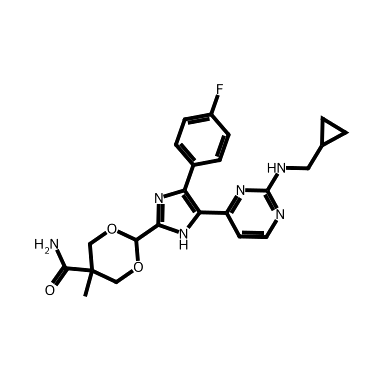 CC1(C(N)=O)COC(c2nc(-c3ccc(F)cc3)c(-c3ccnc(NCC4CC4)n3)[nH]2)OC1